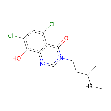 CBC(C)CCn1cnc2c(O)c(Cl)cc(Cl)c2c1=O